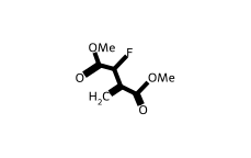 C=C(C(=O)OC)C(F)C(=O)OC